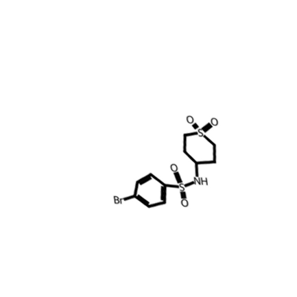 O=S1(=O)CCC(NS(=O)(=O)c2ccc(Br)cc2)CC1